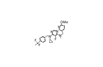 COc1ccc(CN(C)c2ncnc(N(Cc3ccc(C(C)(F)F)cc3)C3CC3)c2F)cn1